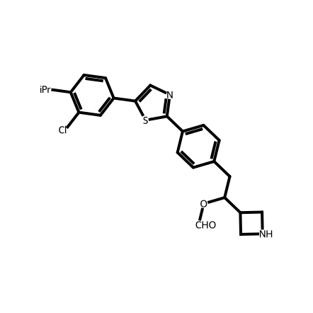 CC(C)c1ccc(-c2cnc(-c3ccc(CC(OC=O)C4CNC4)cc3)s2)cc1Cl